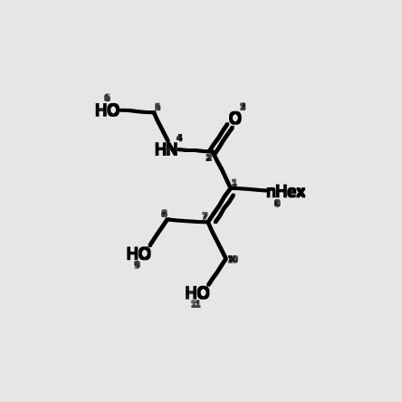 CCCCCCC(C(=O)NCO)=C(CO)CO